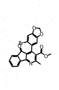 COC(=O)c1c(C)nc2c(c1-c1cc3c(cc1Br)OCO3)C(=O)c1ccccc1-2